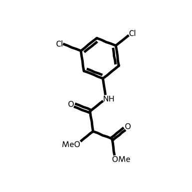 COC(=O)C(OC)C(=O)Nc1cc(Cl)cc(Cl)c1